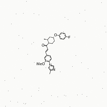 COc1cc(/C=C/C(=O)C2CC[C@@H](Oc3ccc(F)cc3)C[C@@H]2C)ccc1-n1cnc(C)c1